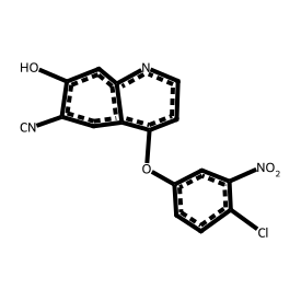 [C-]#[N+]c1cc2c(Oc3ccc(Cl)c([N+](=O)[O-])c3)ccnc2cc1O